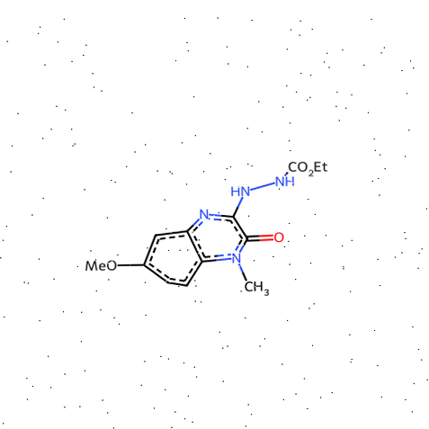 CCOC(=O)NNc1nc2cc(OC)ccc2n(C)c1=O